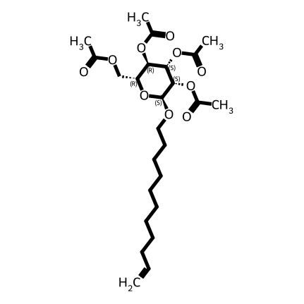 C=CCCCCCCCCCO[C@H]1O[C@H](COC(C)=O)[C@@H](OC(C)=O)[C@H](OC(C)=O)[C@@H]1OC(C)=O